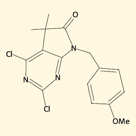 COc1ccc(CN2C(=O)C(C)(C)c3c(Cl)nc(Cl)nc32)cc1